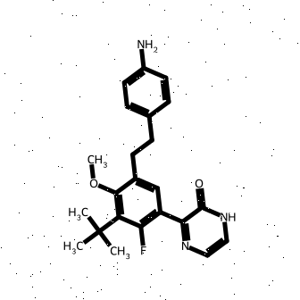 COc1c(CCc2ccc(N)cc2)cc(-c2ncc[nH]c2=O)c(F)c1C(C)(C)C